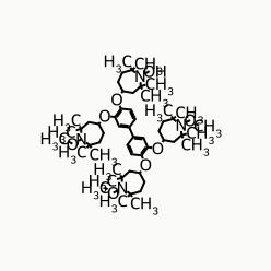 CON1C(C)(C)CCC(Oc2cc(-c3ccc(OC4CCC(C)(C)N(OC)C(C)(C)C4)c(OC4CCC(C)(C)N(OC)C(C)(C)C4)c3)ccc2OC2CCC(C)(C)N(O)C(C)(C)C2)CC1(C)C